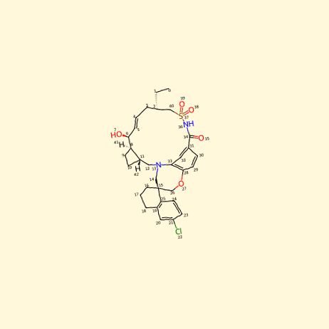 CC[C@H]1C/C=C/[C@H](O)[C@@H]2CC[C@H]2CN2C[C@@]3(CCCc4cc(Cl)ccc43)COc3ccc(cc32)C(=O)NS(=O)(=O)C1